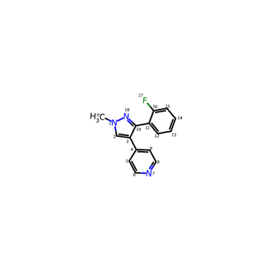 Cn1cc(-c2ccncc2)c(-c2ccccc2F)n1